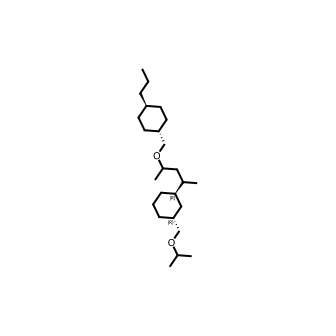 CCC[C@H]1CC[C@H](COC(C)CC(C)[C@@H]2CCC[C@@H](COC(C)C)C2)CC1